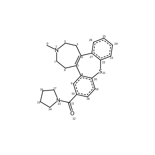 CN1CCC2=C(CC1)c1cc(C(=O)N3CCCC3)ccc1Sc1ccccc12